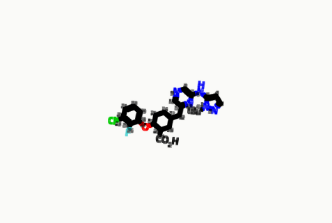 CC(C)(C)n1nccc1Nc1cncc(CC2CCC(Oc3cccc(Cl)c3F)C(C(=O)O)C2)n1